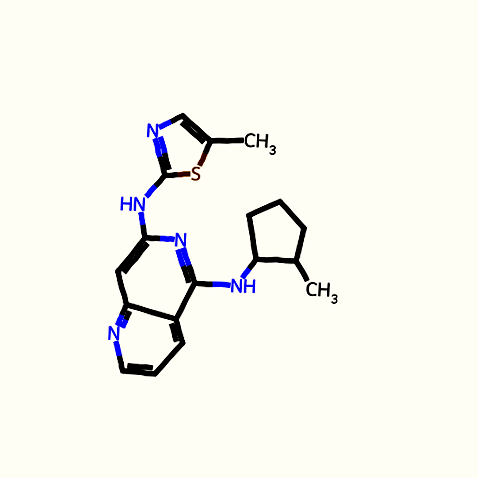 Cc1cnc(Nc2cc3ncccc3c(NC3CCCC3C)n2)s1